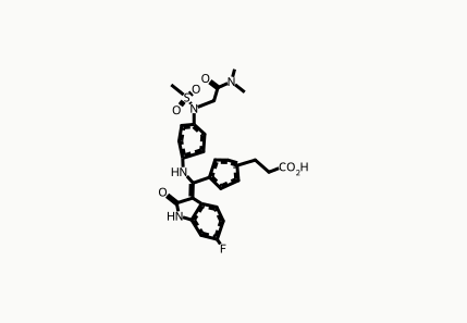 CN(C)C(=O)CN(c1ccc(N/C(=C2\C(=O)Nc3cc(F)ccc32)c2ccc(CCC(=O)O)cc2)cc1)S(C)(=O)=O